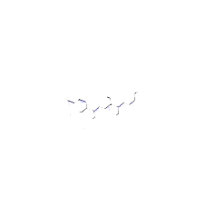 C=C\C=C/C=C(C=C)/C(C=C)=C/C=C(\C=C)C(=CC)/C=C\C=C/C